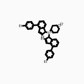 CCC1=Cc2c(-c3ccc(CC)cc3)cccc2[CH]1[Ti+2]1([CH]2C(CC)=Cc3c(-c4ccc(CC)cc4)cccc32)[CH]2CCCC[CH]21.[Cl-].[Cl-]